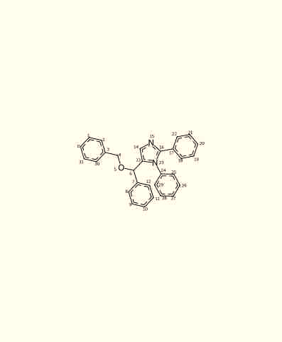 c1ccc(COC(c2ccccc2)c2cnc(-c3ccccc3)n2-c2ccccc2)cc1